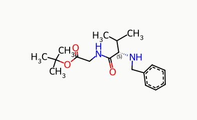 CC(C)[C@H](NCc1ccccc1)C(=O)NCC(=O)OC(C)(C)C